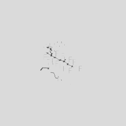 C=CC(=O)OCCN.COS(=O)(=O)C(F)(F)C(F)(F)C(F)(F)C(F)(F)C(F)(F)C(F)(F)C(F)(F)C(F)(F)F